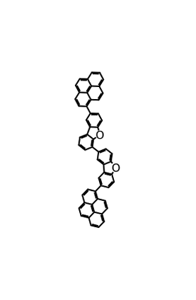 c1cc2ccc3ccc(-c4ccc5oc6ccc(-c7cccc8c7oc7ccc(-c9ccc%10ccc%11cccc%12ccc9c%10c%11%12)cc78)cc6c5c4)c4ccc(c1)c2c34